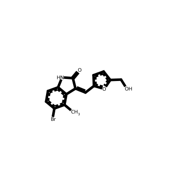 Cc1c(Br)ccc2c1C(=Cc1ccc(CO)o1)C(=O)N2